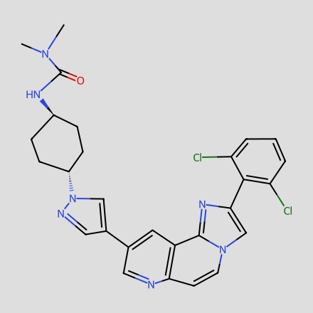 CN(C)C(=O)N[C@H]1CC[C@H](n2cc(-c3cnc4ccn5cc(-c6c(Cl)cccc6Cl)nc5c4c3)cn2)CC1